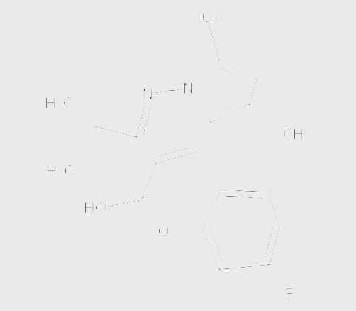 Cc1cc(C)n2nc(C(C)C)c(C(=O)O)c(-c3ccc(F)cc3)c12